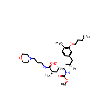 COCCCOc1cc(C[C@@H](C[C@H](NC(=O)OC(C)(C)C)[C@@H](O)C[C@@H](C)C(=O)NCCCN2CCOCC2)C(C)C)ccc1OC